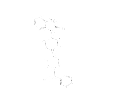 C[C@H](c1ccccc1)N1CCC(N2CCC(n3c(=O)[nH]c4ccccc43)CC2)CC1